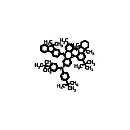 Cc1cc2c3c(c1)N1c4c(cc(C(C)(C)C)cc4C4(C)CCCCC14C)B3c1ccc(N(c3ccc(C(C)(C)C)cc3)c3ccc(C(C)(C)C)cc3)cc1N2c1ccc2c(c1)C(C)(C)c1ccccc1-2